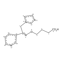 O=C(O)CCCO/N=C(\Cn1ccnc1)c1cccnc1